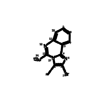 Cc1c(Br)nc2c3ccccc3nc(C(C)(C)C)n12